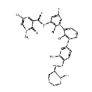 COc1nc(-c2cccc(-c3cc(F)cc(NC(=O)c4cc(Cl)nn(C)c4=O)c3Cl)c2Cl)ccc1CN[C@@H]1CCCC[C@@H]1O